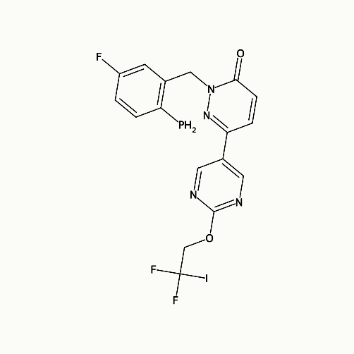 O=c1ccc(-c2cnc(OCC(F)(F)I)nc2)nn1Cc1cc(F)ccc1P